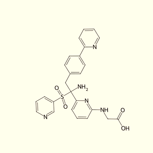 NC(Cc1ccc(-c2ccccn2)cc1)(c1cccc(NCC(=O)O)n1)S(=O)(=O)c1cccnc1